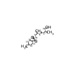 CC(=CCCC(C)=CCS(=O)(=O)c1ccc(C)cc1)CO